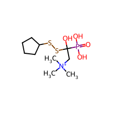 C[N+](C)(C)CC(O)(SSC1CCCC1)P(=O)(O)O